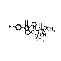 COC(=O)N[C@H](C(=O)N1CCC[C@H]1c1[nH]c(-c2ccc(Br)cc2)c2c1CCC2)[C@@H](C)OC